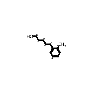 Cc1ccccc1CCCCCO